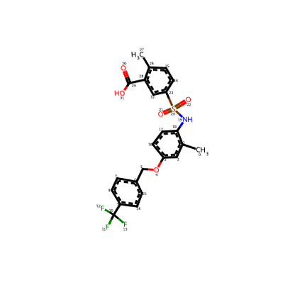 Cc1cc(OCc2ccc(C(F)(F)F)cc2)ccc1NS(=O)(=O)c1ccc(C)c(C(=O)O)c1